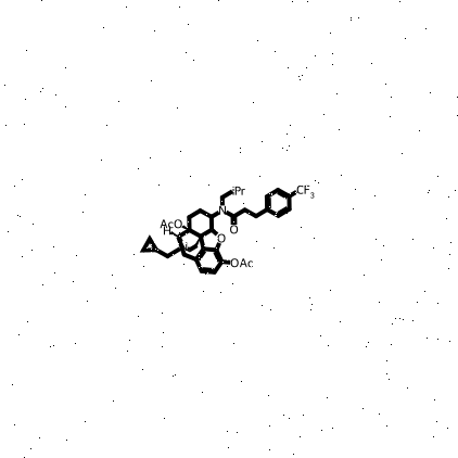 CC(=O)Oc1ccc2c3c1OC1C(N(CC(C)C)C(=O)CCc4ccc(C(F)(F)F)cc4)CC[C@@]4(OC(C)=O)[C@@H](C2)N(CC2CC2)CC[C@]314